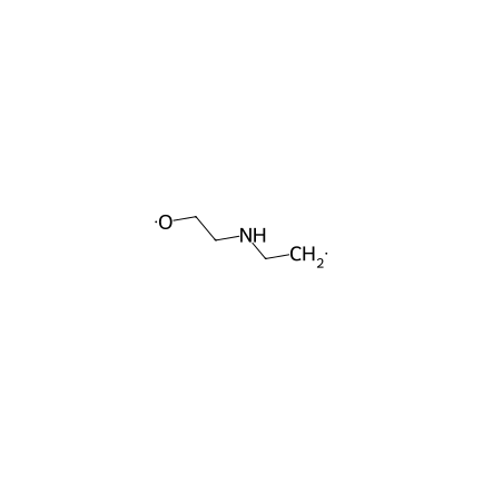 [CH2]CNCC[O]